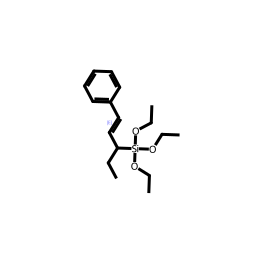 CCO[Si](OCC)(OCC)C(/C=C/c1ccccc1)CC